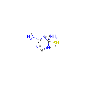 NC1=NC(N)(S)N=CN1